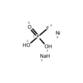 O=P(O)(O)F.[NaH].[Ni]